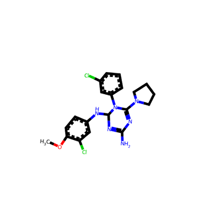 COc1ccc(NC2N=C(N)N=C(N3CCCC3)N2c2cccc(Cl)c2)cc1Cl